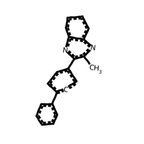 Cc1nc2ccccc2nc1-c1ccc(-c2ccccc2)cc1